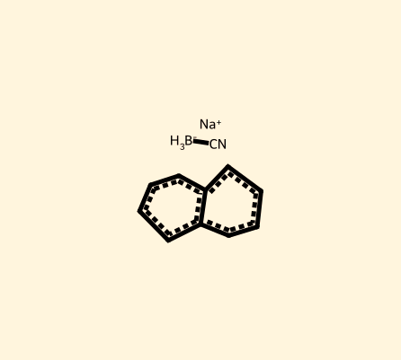 [BH3-]C#N.[Na+].c1ccc2ccccc2c1